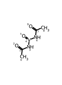 CC(=O)[NH][V](=[O])[NH]C(C)=O